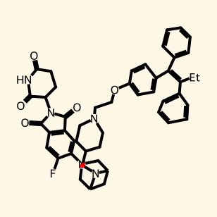 CCC(=C(c1ccccc1)c1ccc(OCCN2CCC(CN3C4CC3CN(c3cc5c(cc3F)C(=O)N(C3CCC(=O)NC3=O)C5=O)C4)CC2)cc1)c1ccccc1